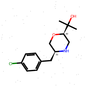 CC(C)(O)[C@H]1CN[C@@H](Cc2ccc(Cl)cc2)CO1